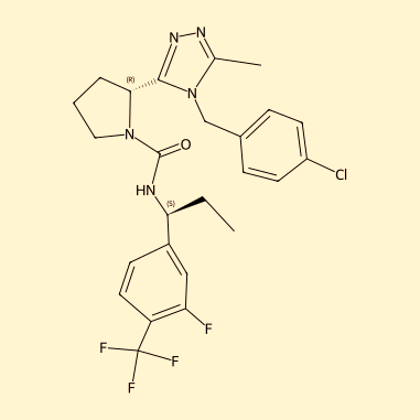 CC[C@H](NC(=O)N1CCC[C@@H]1c1nnc(C)n1Cc1ccc(Cl)cc1)c1ccc(C(F)(F)F)c(F)c1